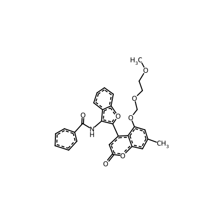 COCCOCOc1cc(C)cc2oc(=O)cc(-c3oc4ccccc4c3NC(=O)c3ccccc3)c12